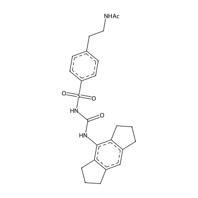 CC(=O)NCCc1ccc(S(=O)(=O)NC(=O)Nc2c3c(cc4c2CCC4)CCC3)cc1